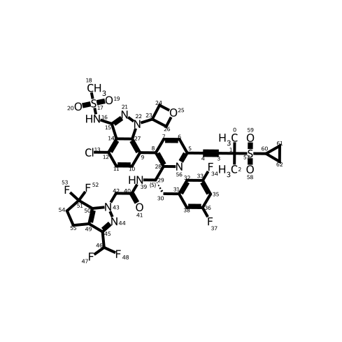 CC(C)(C#Cc1ccc(-c2ccc(Cl)c3c(NS(C)(=O)=O)nn(C4COC4)c23)c([C@H](Cc2cc(F)cc(F)c2)NC(=O)Cn2nc(C(F)F)c3c2C(F)(F)CC3)n1)S(=O)(=O)C1CC1